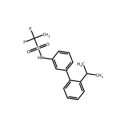 CC(C)c1ccccc1-c1cccc(NS(=O)(=O)C(C)(F)F)c1